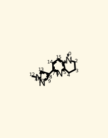 CN1CCCc2nc(-c3cnn(C)c3)ccc21